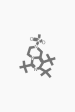 CC(C)(C)C1=NC(C(C)(C)C)C(C(C)(C)C)=C2CN(S(C)(=O)=O)CCN12